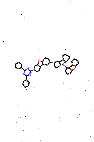 c1ccc(-c2nc(-c3ccccc3)nc(-c3ccc4c(c3)oc3ccc(-c5ccc6c(c5)c5ccccc5n6-c5cccc6oc7ccccc7c56)cc34)n2)cc1